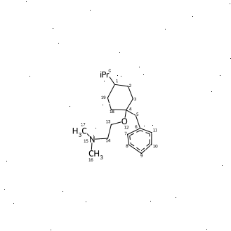 CC(C)C1CCC(Cc2ccccc2)(OCCN(C)C)CC1